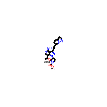 C=C(OCCCC)c1cnc(N)c2c(C#Cc3ccc4ccnn4c3)nn([C@H]3CCN(C(=O)OC(C)(C)C)C3)c12